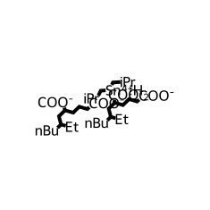 CC(C)[CH2][SnH2+4][CH2]C(C)C.CCCCC(CC)CC(CCCC(=O)[O-])C(=O)[O-].CCCCC(CC)CC(CCCC(=O)[O-])C(=O)[O-]